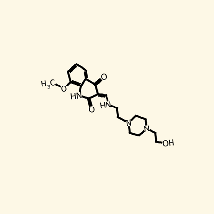 COc1cccc2c1NC(=O)/C(=C\NCCN1CCN(CCO)CC1)C2=O